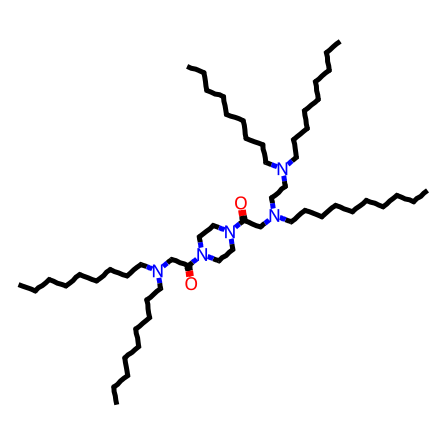 CCCCCCCCCCN(CCN(CCCCCCCCC)CCCCCCCCC)CC(=O)N1CCN(C(=O)CN(CCCCCCCCC)CCCCCCCCC)CC1